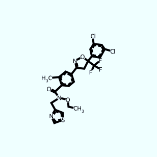 CCON(Cc1cscn1)C(=O)c1ccc(C2=NOC(c3cc(Cl)cc(Cl)c3)(C(F)(F)F)C2)cc1C